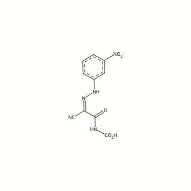 N#CC(=NNc1cccc([N+](=O)[O-])c1)C(=O)NC(=O)O